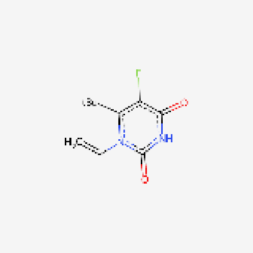 C=Cn1c(C(C)(C)C)c(F)c(=O)[nH]c1=O